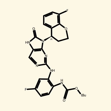 CC(C)(C)OC(=O)Nc1ccc(F)cc1Nc1ncc2[nH]c(=O)n([C@@H]3CCOc4c(F)cccc43)c2n1